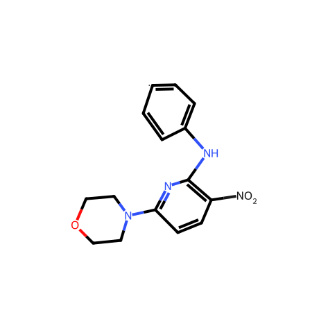 O=[N+]([O-])c1ccc(N2CCOCC2)nc1Nc1cc[c]cc1